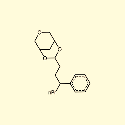 [CH2]CCC(CC[C]1OC2COCC(C2)O1)c1ccccc1